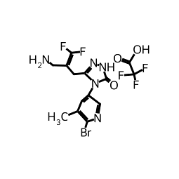 Cc1cc(-n2c(CC(CN)=C(F)F)n[nH]c2=O)cnc1Br.O=C(O)C(F)(F)F